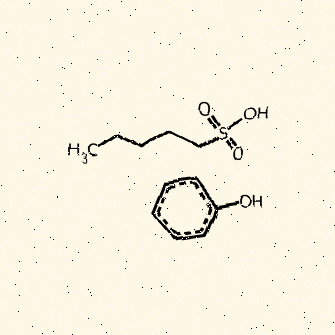 CCCCCS(=O)(=O)O.Oc1ccccc1